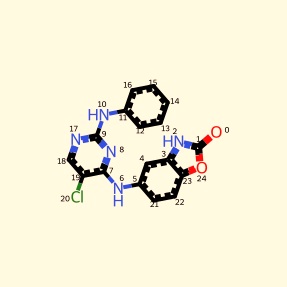 O=c1[nH]c2cc(Nc3nc(Nc4ccccc4)ncc3Cl)ccc2o1